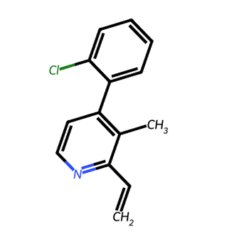 C=Cc1nccc(-c2ccccc2Cl)c1C